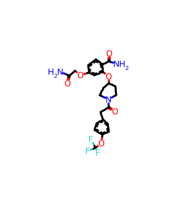 NC(=O)COc1ccc(C(N)=O)c(OC2CCN(C(=O)Cc3ccc(OC(F)(F)F)cc3)CC2)c1